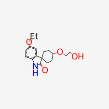 CCOc1ccc2c(c1)C1(CCC(OCCO)CC1)C(=O)N2